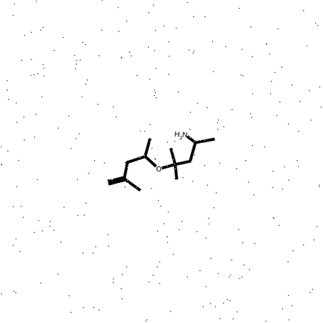 C=C(C)CC(C)OC(C)(C)CC(C)N